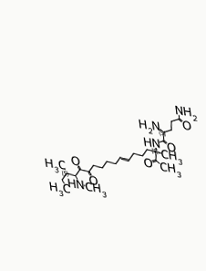 CC[C@H](C)C(NC)C(=O)C(=O)CCCCC=CCCC[C@](C)(NC(=O)[C@@H](N)CCC(N)=O)C(C)=O